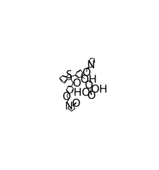 O=C(O)C(=O)O.O=C(c1ccc(OCCN2CCCC2=O)cc1)c1c(-c2ccc(OCCN3CCCC3)c(O)c2)sc2ccccc12